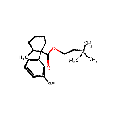 CC1CCCCC1(C(=O)OCC[Si](C)(C)C)c1cccc(C(C)(C)C)c1